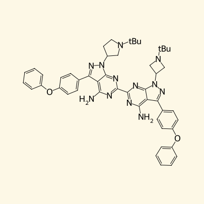 CC(C)(C)N1CCC(n2nc(-c3ccc(Oc4ccccc4)cc3)c3c(N)nc(-c4nc(N)c5c(-c6ccc(Oc7ccccc7)cc6)nn(C6CN(C(C)(C)C)C6)c5n4)nc32)C1